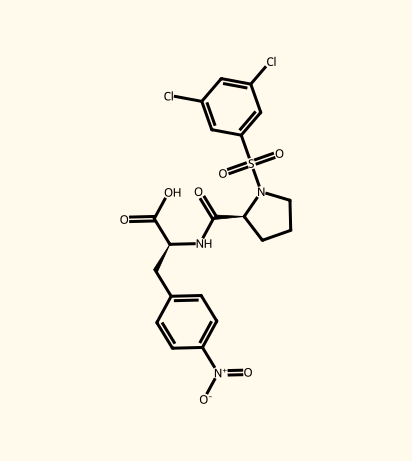 O=C(O)[C@H](Cc1ccc([N+](=O)[O-])cc1)NC(=O)[C@@H]1CCCN1S(=O)(=O)c1cc(Cl)cc(Cl)c1